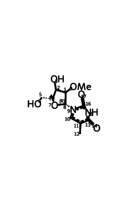 COC1C(O)[C@@H](CO)O[C@H]1n1cc(C)c(=O)[nH]c1=O